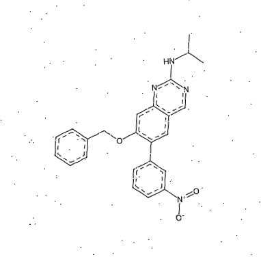 CC(C)Nc1ncc2cc(-c3cccc([N+](=O)[O-])c3)c(OCc3ccccc3)cc2n1